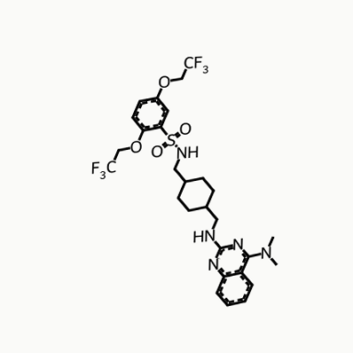 CN(C)c1nc(NCC2CCC(CNS(=O)(=O)c3cc(OCC(F)(F)F)ccc3OCC(F)(F)F)CC2)nc2ccccc12